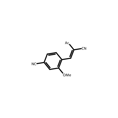 COc1cc(C#N)ccc1C=C(C#N)C(C)=O